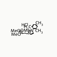 CO[Si](CCCN1C=CN(c2c(C)cc(C)cc2C)C1)(OC)OC.Cl